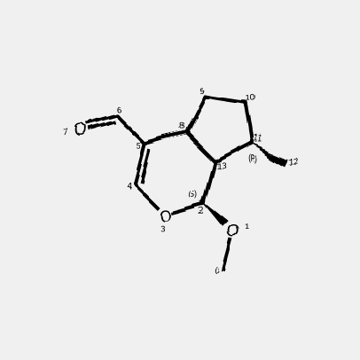 CO[C@H]1OC=C(C=O)C2CC[C@@H](C)C21